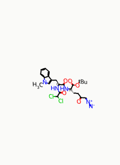 Cn1cc(C[C@H](NC(=O)C(Cl)Cl)C(=O)N[C@@H](CCC(=O)C=[N+]=[N-])C(=O)OC(C)(C)C)c2ccccc21